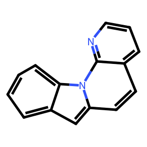 c1ccc2c(c1)cc1ccc3cccnc3n12